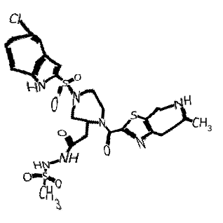 CC1Cc2nc(C(=O)N3CCN(S(=O)(=O)c4cc5cc(Cl)ccc5[nH]4)CC3CC(=O)NNS(C)(=O)=O)sc2CN1